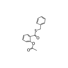 CC(=O)Oc1ccccc1C(=O)SCc1ccccc1